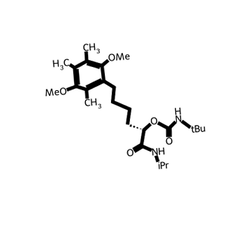 COc1c(C)c(C)c(OC)c(CCCC[C@H](OC(=O)NC(C)(C)C)C(=O)NC(C)C)c1C